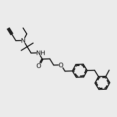 C#CCN(CC)C(C)(C)CNC(=O)CCOCc1ccc(Cc2ccccc2C)cc1